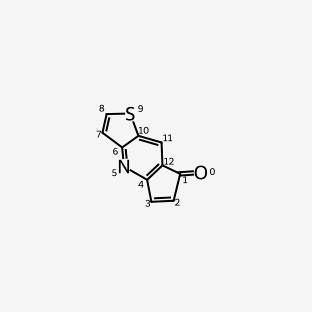 O=C1C=Cc2nc3ccsc3cc21